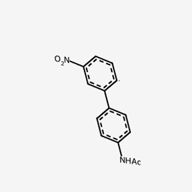 CC(=O)Nc1ccc(-c2[c]ccc([N+](=O)[O-])c2)cc1